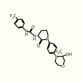 C[C@]1(O)COCCN1c1ccc(N2CCC[C@@H](NC(=O)Nc3ccc(C(F)(F)F)cc3)C2=O)cc1